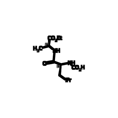 CCOC(=O)[C@H](C)NC(=O)[C@H](CC(C)C)NC(=O)O